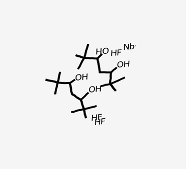 CC(C)(C)C(O)CC(O)C(C)(C)C.CC(C)(C)C(O)CC(O)C(C)(C)C.F.F.F.[Nb]